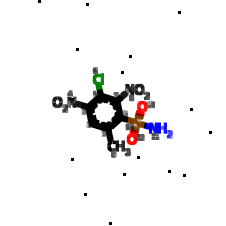 Cc1cc([N+](=O)[O-])c(Cl)c([N+](=O)[O-])c1S(N)(=O)=O